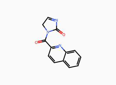 O=C1N=CCN1C(=O)c1ccc2ccccc2n1